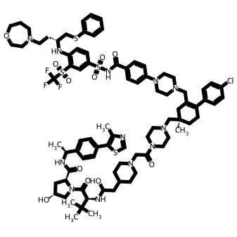 Cc1ncsc1-c1ccc([C@H](C)NC(=O)[C@@H]2C[C@@H](O)CN2C(=O)[C@@H](NC(O)CC2CCN(CC(=O)N3CCN(C[C@]4(C)CCC(c5ccc(Cl)cc5)=C(CN5CCN(c6ccc(C(=O)NS(=O)(=O)c7ccc(N[C@H](CCN8CCCOCC8)CSc8ccccc8)c(S(=O)(=O)C(F)(F)F)c7)cc6)CC5)C4)CC3)CC2)C(C)(C)C)cc1